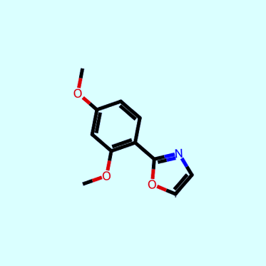 COc1ccc(-c2nc[c]o2)c(OC)c1